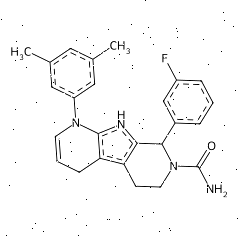 Cc1cc(C)cc(N2C=CCc3c2[nH]c2c3CCN(C(N)=O)C2c2cccc(F)c2)c1